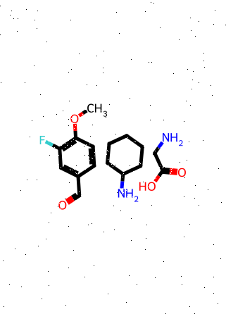 COc1ccc(C=O)cc1F.NC1CCCCC1.NCC(=O)O